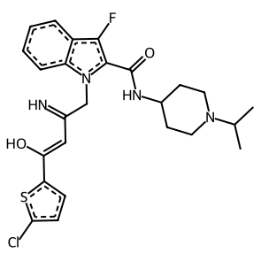 CC(C)N1CCC(NC(=O)c2c(F)c3ccccc3n2CC(=N)/C=C(\O)c2ccc(Cl)s2)CC1